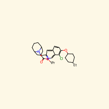 CCC1CCC(Oc2ccc3cc(CN4C5CCCC4CC(C(=O)OC(C)C)C5)ncc3c2Cl)CC1